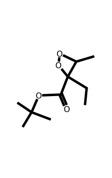 CCC1(C(=O)OC(C)(C)C)OOC1C